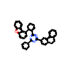 c1ccc(-c2nc(-c3ccc4ccc5ccccc5c4c3)nc(-c3ccccc3-c3cccc4oc5ccccc5c34)n2)cc1